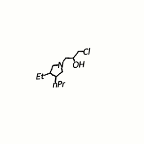 CCCC1CN(CC(O)CCl)CC1CC